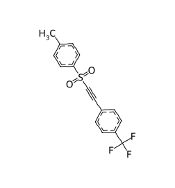 Cc1ccc(S(=O)(=O)C#Cc2ccc(C(F)(F)F)cc2)cc1